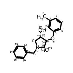 Cc1cccc(O[C@H]2CN(Cc3ccccc3)C[C@@H]2O)c1.Cl